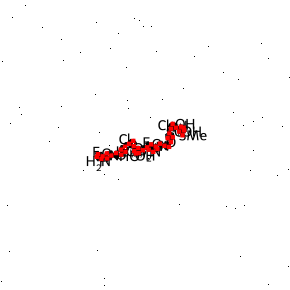 CS[C@H]1O[C@@H](c2ccc(Cl)c(Cc3ccc(OC4CCN(C5COC(c6cc(F)c(CS[C@H]7O[C@@H](c8ccc(Cl)c(Cc9ccc(OC%10CN(C%11COC(c%12cc(F)ccc%12F)C(N)C%11)C%10)cc9)c8)[C@H](O)[C@@H](O)[C@@H]7O)cc6F)C(N)C5)C4)cc3)c2)[C@H](O)[C@@H](I)[C@@H]1O